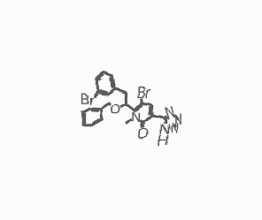 Cn1c(C(Cc2cccc(Br)c2)OCc2ccccc2)c(Br)cc(-c2nnn[nH]2)c1=O